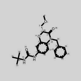 COC[C@H]1Oc2cc(NC(=O)NC(C)(C)C)ccc2N(Cc2ccccc2)C1=O